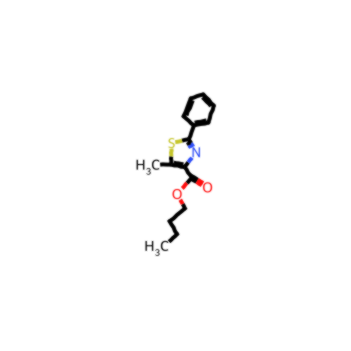 CCCCOC(=O)c1nc(-c2ccccc2)sc1C